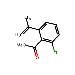 C=C(c1cccc(Cl)c1C(=O)OC)C(F)(F)F